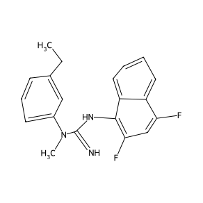 CCc1cccc(N(C)C(=N)Nc2c(F)cc(F)c3ccccc23)c1